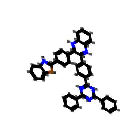 c1ccc(-c2nc(-c3ccccc3)nc(-c3ccc(-c4nc5ccccc5nc4-c4ccc(-c5nc6ccccc6s5)cc4)cc3)n2)cc1